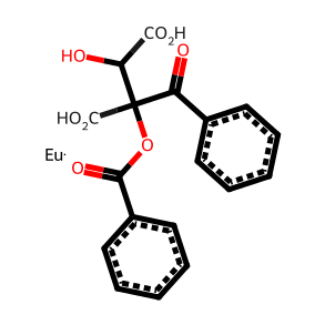 O=C(OC(C(=O)O)(C(=O)c1ccccc1)C(O)C(=O)O)c1ccccc1.[Eu]